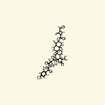 CC(C)C1=C2C3CCC4C(C)(CCC5C(C)C(OC(=O)C6CC(C=O)C6C)CCC54C)C3CCC2(NC(=O)C(C)(C)C(=O)NNC(=O)c2ccc(Cl)cc2)CC1=O